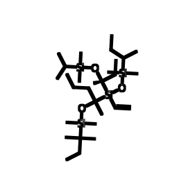 C=C[Si](O[Si](C)(C)C(C)CC)(C(C)(CCC)O[Si](C)(C)C(C)(C)CC)[C@@](C)(CC)O[Si](C)(C)C(C)C